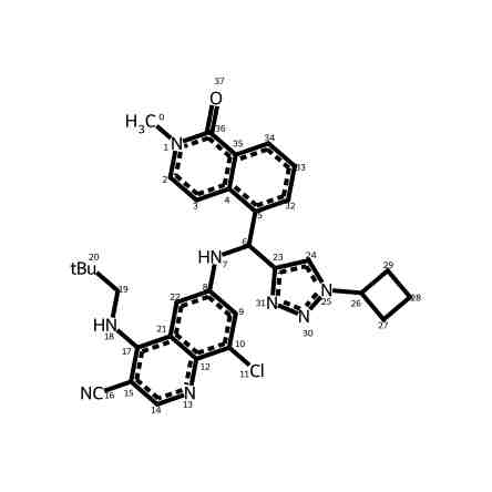 Cn1ccc2c(C(Nc3cc(Cl)c4ncc(C#N)c(NCC(C)(C)C)c4c3)c3cn(C4CCC4)nn3)cccc2c1=O